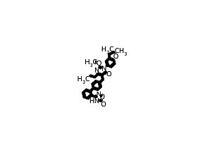 CCCc1nc(OC)n(-c2ccc3c(c2)CC(C)(C)O3)c(=O)c1Cc1ccc(-c2ccccc2-c2noc(=O)[nH]2)cc1